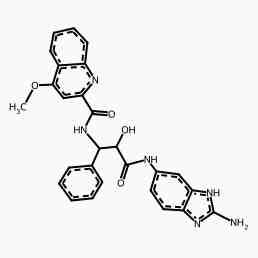 COc1cc(C(=O)NC(c2ccccc2)C(O)C(=O)Nc2ccc3nc(N)[nH]c3c2)nc2ccccc12